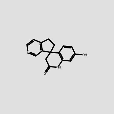 O=C1CC2(CCc3ccncc32)c2ccc(O)cc2N1